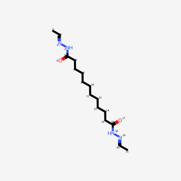 CC=NNC(=O)CCCCCCCCCCC(=O)NN=CC